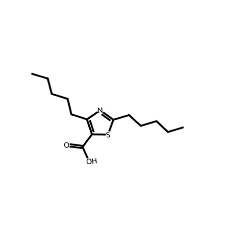 CCCCCc1nc(CCCCC)c(C(=O)O)s1